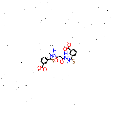 COC(=O)c1cccc(C(=S)N(C)NC(=O)CC(=O)NN(C)C(=S)c2cccc(C(=O)OC)c2)c1